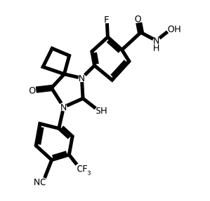 N#Cc1ccc(N2C(=O)C3(CCC3)N(c3ccc(C(=O)NO)c(F)c3)C2S)cc1C(F)(F)F